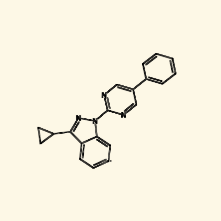 [c]1ccc2c(C3CC3)nn(-c3ncc(-c4ccccc4)cn3)c2c1